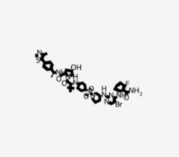 Cc1ncsc1-c1ccc([C@H](C)NC(=O)C2C[C@@H](O)CN2C(=O)[C@@H](NC2CCC(S(=O)(=O)N3CCC[C@@H](Nc4ncc(Br)c(Nc5cccc(F)c5C(N)=O)n4)C3)CC2)C(C)(C)C)cc1